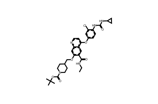 CCNC(=O)c1cc2c(Oc3ccc(NC(=O)NC4CC4)c(Cl)c3)ccnc2cc1OCC1CCN(C(=O)OC(C)(C)C)CC1